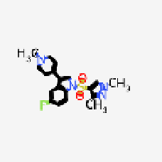 Cc1nn(C)cc1S(=O)(=O)n1cc(C2=CCN(C)CC2)c2cc(F)ccc21